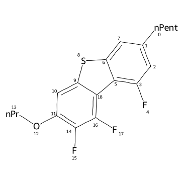 CCCCCc1cc(F)c2c(c1)sc1cc(OCCC)c(F)c(F)c12